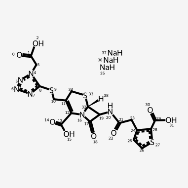 O=C(O)Cn1nnnc1SCC1=C(C(=O)O)N2C(=O)C(NC(=O)Cc3ccsc3C(=O)O)[C@H]2SC1.[NaH].[NaH].[NaH]